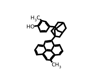 Cc1cc(C23CC4CC(C2)CC(c2cc5cccc6cc(C)c7cccc2c7c65)(C4)C3)ccc1O